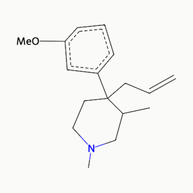 C=CCC1(c2cccc(OC)c2)CCN(C)CC1C